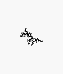 CCCCOc1nc(N)c2[nH]cc(Cc3ccc(N(CCC)C(=O)CC(C)CC)cc3)c2n1